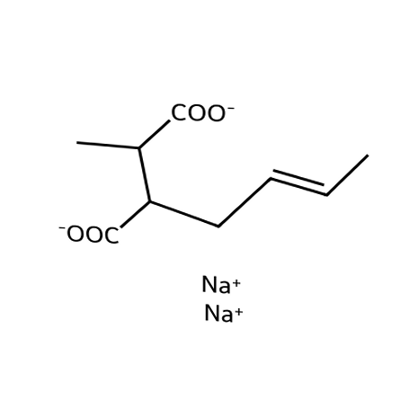 CC=CCC(C(=O)[O-])C(C)C(=O)[O-].[Na+].[Na+]